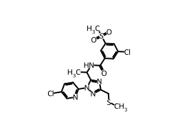 CSCc1nc(C(C)NC(=O)c2cc(Cl)cc(S(C)(=O)=O)c2)n(-c2ccc(Cl)cn2)n1